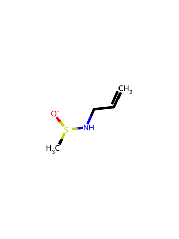 C=CCN[S+](C)[O-]